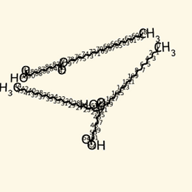 CCCCCCCCCCCCCCCCCCCCCCC(CCCCCCCCCCCCCCCCCCCCCC)(CCCCCCCC(=O)O)C(=O)O.CCCCCCCCCCCCCCCCCCCCCCOC(=O)CCCCCCCCC(=O)O